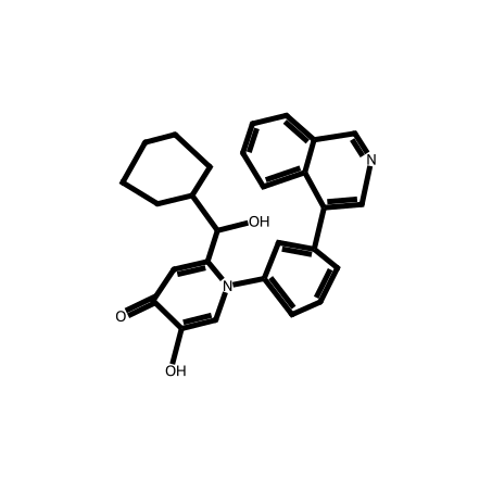 O=c1cc(C(O)C2CCCCC2)n(-c2cccc(-c3cncc4ccccc34)c2)cc1O